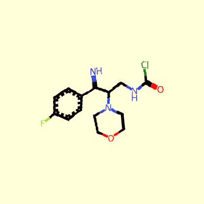 N=C(c1ccc(F)cc1)C(CNC(=O)Cl)N1CCOCC1